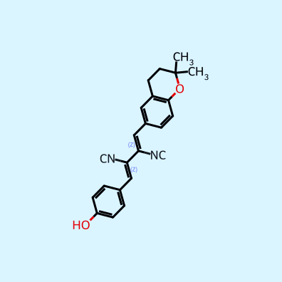 [C-]#[N+]C(=C\c1ccc(O)cc1)/C(=C/c1ccc2c(c1)CCC(C)(C)O2)[N+]#[C-]